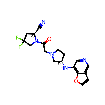 N#C[C@@H]1CC(F)(F)CN1C(=O)CN1CC[C@H](Nc2cncc3ccoc23)C1